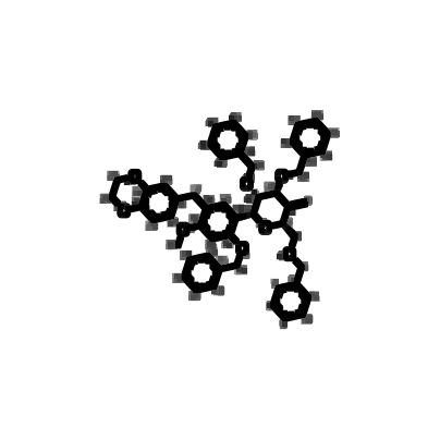 C=C1[C@@H](COCc2ccccc2)O[C@@H](c2cc(Cc3ccc4c(c3)OCCO4)c(OC)cc2OCc2ccccc2)[C@H](OCc2ccccc2)[C@H]1OCc1ccccc1